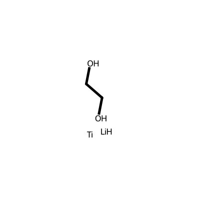 OCCO.[LiH].[Ti]